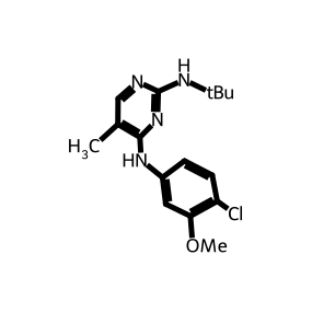 COc1cc(Nc2nc(NC(C)(C)C)ncc2C)ccc1Cl